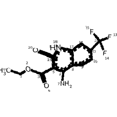 CCOC(=O)c1c(N)c2ccc(C(F)(F)F)cc2[nH]c1=O